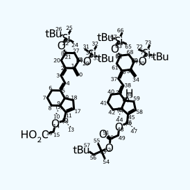 C=C1C(=CC=C2CCC[C@]3(C)C([C@H](C)OCC(=O)O)=CCC23)C[C@@H](O[Si](C)(C)C(C)(C)C)C[C@@H]1O[Si](C)(C)C(C)(C)C.C=C1C(=CC=C2CCC[C@]3(C)C([C@H](C)OCC(=O)OC(C)(C)CC(C)(C)C)=CC[C@@H]23)C[C@@H](O[Si](C)(C)C(C)(C)C)C[C@@H]1O[Si](C)(C)C(C)(C)C